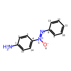 Nc1ccc(/[N+]([O-])=N/c2ccccc2)cc1